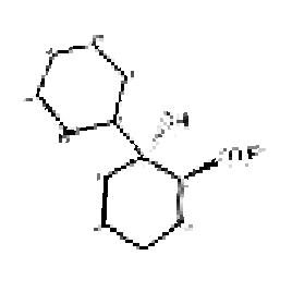 CCOC(=O)[C@H]1CCCC[C@@]1(O)C1CCCCC1